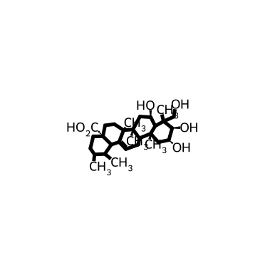 CC1CC[C@@]2(C(=O)O)CC[C@]3(C)C(=CCC4[C@@]5(C)C[C@@H](O)[C@H](O)C(C)(CO)C5[C@H](O)C[C@]43C)C2C1C